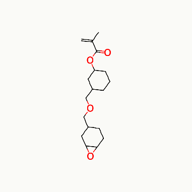 C=C(C)C(=O)OC1CCCC(COCC2CCC3OC3C2)C1